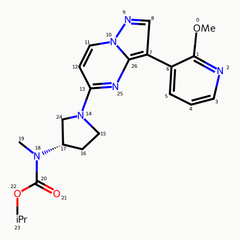 COc1ncccc1-c1cnn2ccc(N3CC[C@H](N(C)C(=O)OC(C)C)C3)nc12